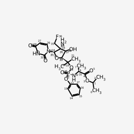 CC(C)OC(=O)[C@H](C)N[P@@](=O)(Oc1ccccc1)OC(C)(C)[C@H]1O[C@@H](n2ccc(=O)[nH]c2=O)[C@@](N)(CF)C1O